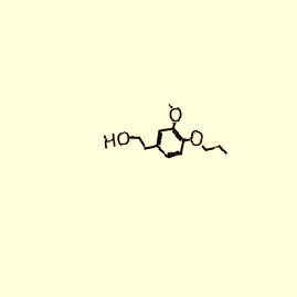 CCCOc1ccc(CCO)cc1OC